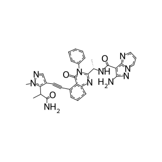 CC(C(N)=O)c1c(C#Cc2cccc3nc([C@H](C)NC(=O)c4c(N)nn5cccnc45)n(-c4ccccc4)c(=O)c23)cnn1C